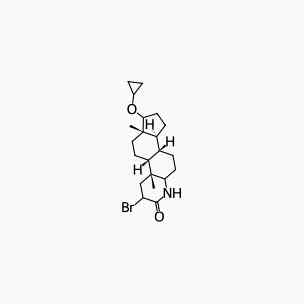 C[C@]12CC(Br)C(=O)NC1CC[C@@H]1[C@H]2CC[C@]2(C)C(OC3CC3)CC[C@@H]12